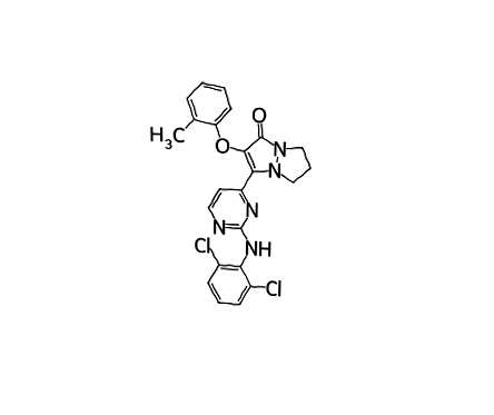 Cc1ccccc1Oc1c(-c2ccnc(Nc3c(Cl)cccc3Cl)n2)n2n(c1=O)CCC2